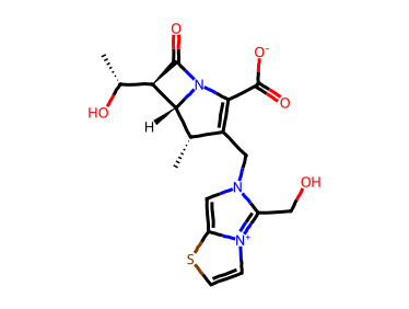 C[C@@H](O)[C@H]1C(=O)N2C(C(=O)[O-])=C(Cn3cc4scc[n+]4c3CO)[C@H](C)[C@H]12